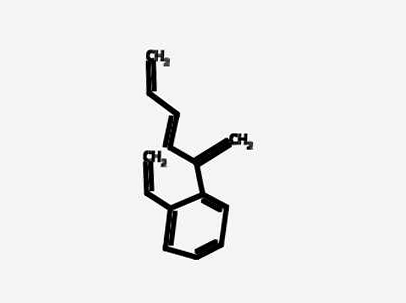 C=CC=CC(=C)c1ccccc1C=C